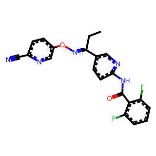 CC/C(=N\Oc1ccc(C#N)nc1)c1ccc(NC(=O)c2c(F)cccc2F)nc1